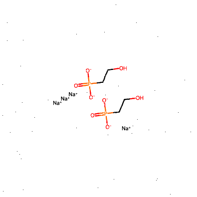 O=P([O-])([O-])CCO.O=P([O-])([O-])CCO.[Na+].[Na+].[Na+].[Na+]